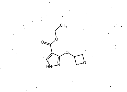 CCOC(=O)c1c[nH]nc1OC1COC1